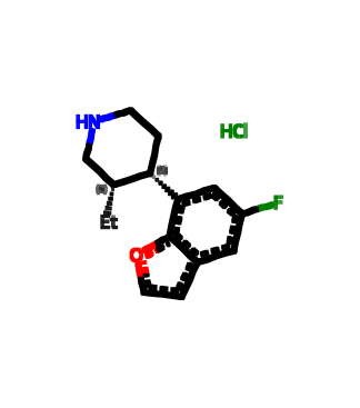 CC[C@@H]1CNCC[C@@H]1c1cc(F)cc2ccoc12.Cl